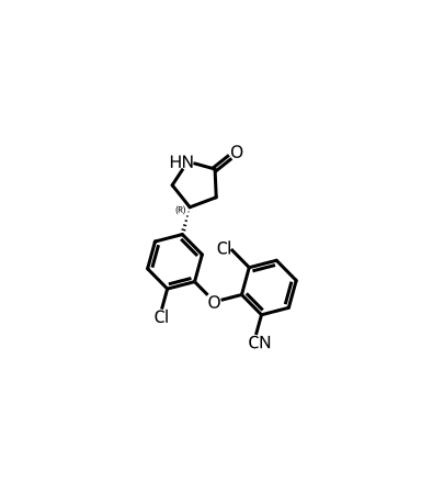 N#Cc1cccc(Cl)c1Oc1cc([C@@H]2CNC(=O)C2)ccc1Cl